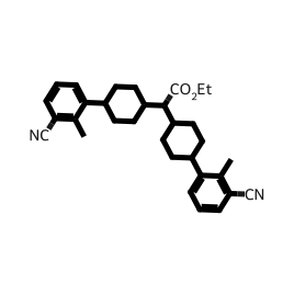 CCOC(=O)C(C1CCC(c2cccc(C#N)c2C)CC1)C1CCC(c2cccc(C#N)c2C)CC1